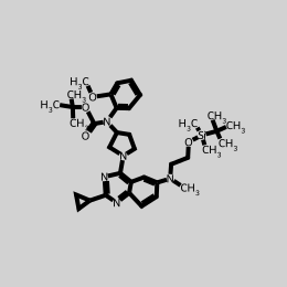 COc1ccccc1N(C(=O)OC(C)(C)C)C1CCN(c2nc(C3CC3)nc3ccc(N(C)CCO[Si](C)(C)C(C)(C)C)cc23)C1